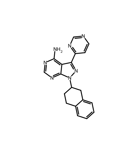 Nc1ncnc2c1c(-c1ccncn1)nn2C1CCc2ccccc2C1